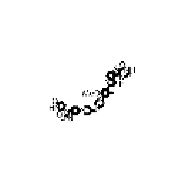 COc1cc(-c2ccc3c(ccc4sc5c(c43)NC[C@@H](C)NC5=O)n2)c(C)cc1N1CCN(CC2CCN(c3ccc4c(c3)n(C)c(=O)n4C3CCC(=O)NC3=O)CC2)CC1